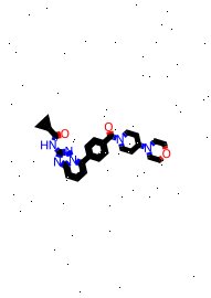 O=C(Nc1nc2cccc(-c3ccc(C(=O)N4CCC(N5CCOCC5)CC4)cc3)n2n1)C1CC1